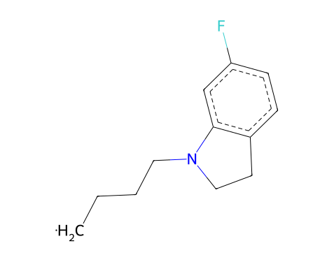 [CH2]CCCN1CCc2ccc(F)cc21